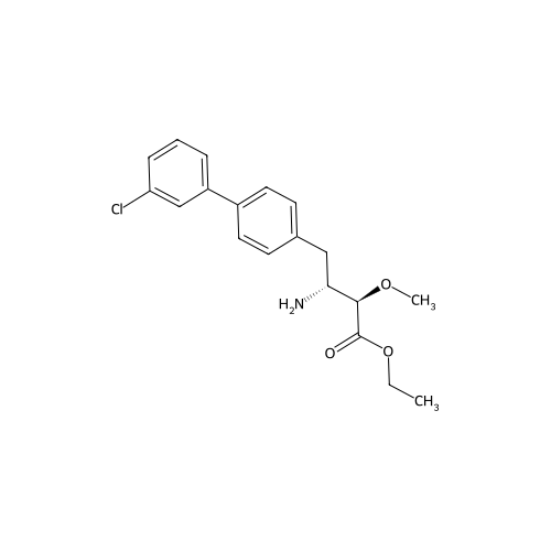 CCOC(=O)[C@H](OC)[C@H](N)Cc1ccc(-c2cccc(Cl)c2)cc1